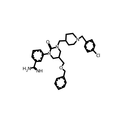 N=C(N)c1cccc(N2CC(COCc3ccccc3)CN(CC3CCN(Cc4ccc(Cl)cc4)CC3)C2=O)c1